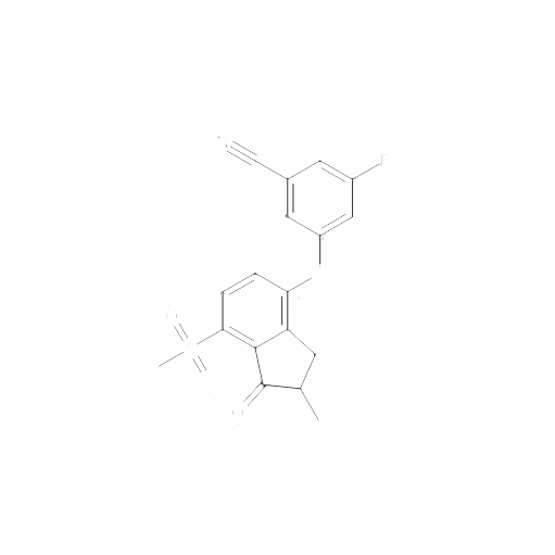 CC1Cc2c(Oc3cc(F)cc(C#N)c3)ccc(S(C)(=O)=O)c2C1=O